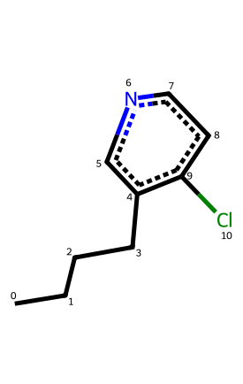 CCCCc1cnccc1Cl